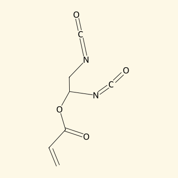 C=CC(=O)OC(CN=C=O)N=C=O